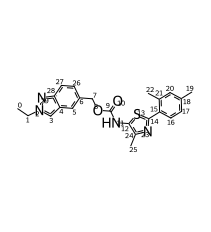 CCn1cc2cc(COC(=O)Nc3sc(-c4ccc(C)cc4C)nc3C)ccc2n1